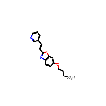 O=S(=O)(O)CCCOc1ccc2nc(C=Cc3cccnc3)oc2c1